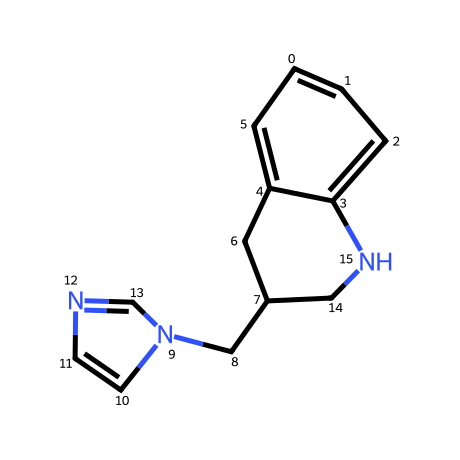 c1ccc2c(c1)CC(Cn1ccnc1)CN2